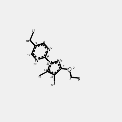 CCOc1nn(-c2ncc(CC)cn2)c(C)c1I